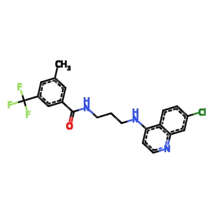 Cc1cc(C(=O)NCCCNc2ccnc3cc(Cl)ccc23)cc(C(F)(F)F)c1